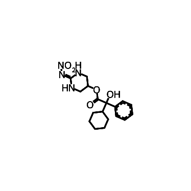 O=C(OC1CNC(=N[N+](=O)[O-])NC1)C(O)(c1ccccc1)C1CCCCC1